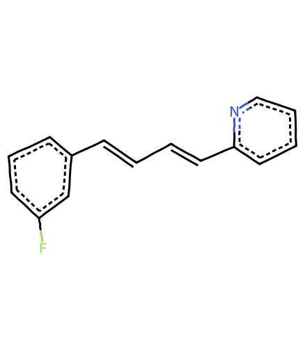 Fc1cccc(C=CC=Cc2ccccn2)c1